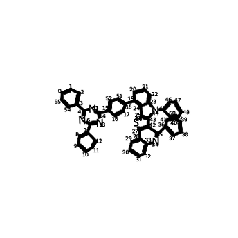 c1ccc(-c2nc(-c3ccccc3)nc(-c3ccc(-c4cccc5c4c4sc6c7ccccc7nc(-c7ccccc7)c6c4n5-c4ccccc4)cc3)n2)cc1